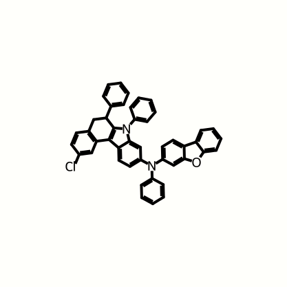 Clc1ccc2c(c1)-c1c(n(-c3ccccc3)c3cc(N(c4ccccc4)c4ccc5c(c4)oc4ccccc45)ccc13)C(c1ccccc1)C2